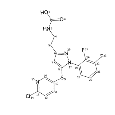 O=C(O)NCCc1cc(Sc2ccc(Cl)nc2)n(-c2cccc(F)c2F)n1